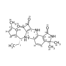 CC[C@@H](Nc1c(Nc2c(F)ccc3c2C(=O)NC3(C)C)c(=O)c1=O)c1ccc(C)o1